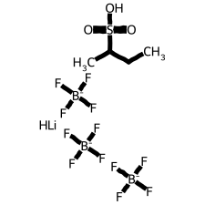 CCC(C)S(=O)(=O)O.F[B-](F)(F)F.F[B-](F)(F)F.F[B-](F)(F)F.[LiH]